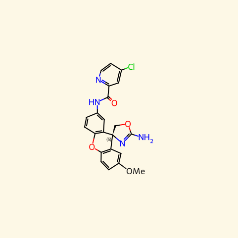 COc1ccc2c(c1)[C@]1(COC(N)=N1)c1cc(NC(=O)c3cc(Cl)ccn3)ccc1O2